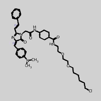 CN(C)c1ccc(/C=C2N=C(/C=C/c3ccccc3)N(CC(=O)NC3CCC(C(=O)NCCOCCOCCCCCCCl)CC3)C/2=O)cc1